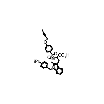 CC#CCOc1ccc(S(=O)(=O)NC(Cc2c(C)n(Cc3ccc(C(C)C)cc3)c3ccccc23)C(=O)O)cc1